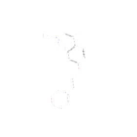 CCOC(=O)/C(=C/N(C)C)c1ccc(OCCN2CCOCC2)cc1